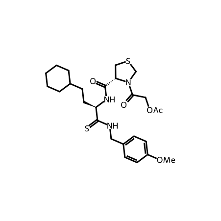 COc1ccc(CNC(=S)[C@@H](CCC2CCCCC2)NC(=O)[C@@H]2CSCN2C(=O)COC(C)=O)cc1